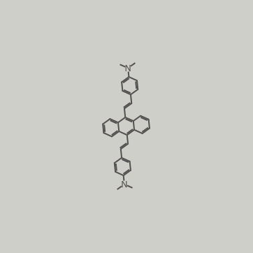 CN(C)c1ccc(C=Cc2c3ccccc3c(C=Cc3ccc(N(C)C)cc3)c3ccccc23)cc1